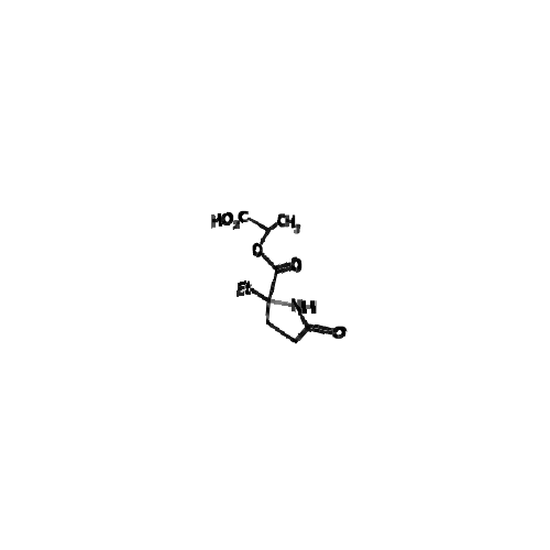 CCC1(C(=O)OC(C)C(=O)O)CCC(=O)N1